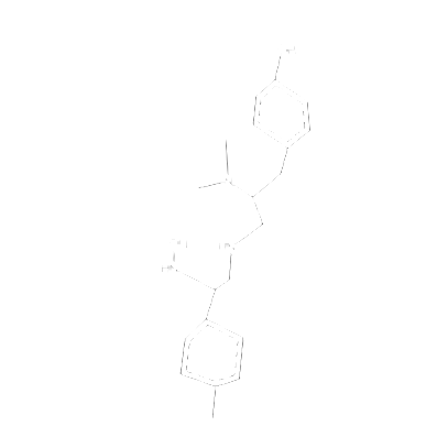 Cc1ccc(C(CNCC(Cc2ccc(O)cc2)N(C)C)NO)cc1